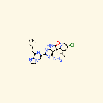 CC1(c2ccc(Cl)cn2)C(=O)Nc2nc(-c3cn4ccnc4c(CCCC(F)(F)F)n3)nc(N)c21